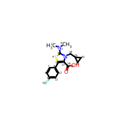 CN(C)C1SC(c2ccc(F)cc2)=C(C(=O)O)N1CC1CC1